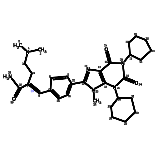 CN(C)CC/C(=C\c1ccc(-c2nc3c(=O)n(C4CCCCC4)c(=O)n(C4CCCCC4)c3n2C)cc1)C(N)=O